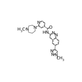 CN1CCCN(c2cc(C(=O)Nc3cc4cc(-c5cn(C)nn5)ccc4nn3)ccn2)CC1